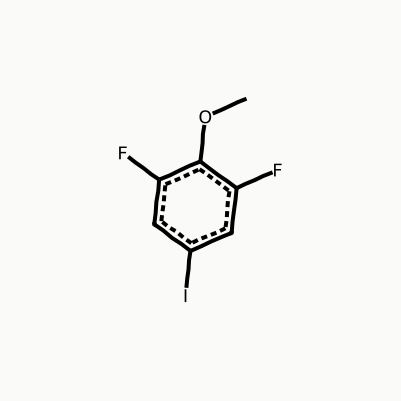 COc1c(F)cc(I)cc1F